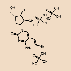 Nc1nc(=O)n([C@@H]2O[C@H](CO)[C@@H](O)[C@H]2O)cc1/C=C/Br.O=P(O)(O)O.O=P(O)(O)O.O=P(O)(O)O